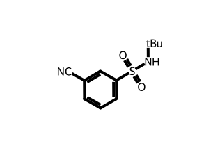 CC(C)(C)NS(=O)(=O)c1cccc(C#N)c1